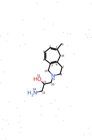 CC1=CC=CC2=C(CCN(CC(O)CN)C2)C1